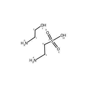 NCCO.NCCS(=O)(=O)O